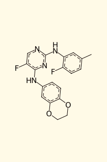 Cc1ccc(F)c(Nc2ncc(F)c(Nc3ccc4c(c3)OCCO4)n2)c1